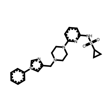 O=S(=O)(Nc1cccc(N2CCN(Cc3cn(-c4ccccc4)cn3)CC2)n1)C1CC1